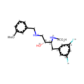 COc1cccc(CNC[C@@H](O)[C@H](Cc2cc(F)cc(F)c2)NC(=O)O)c1